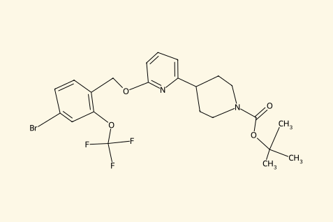 CC(C)(C)OC(=O)N1CCC(c2cccc(OCc3ccc(Br)cc3OC(F)(F)F)n2)CC1